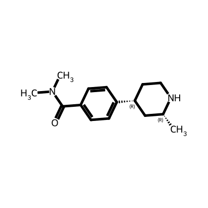 C[C@@H]1C[C@H](c2ccc(C(=O)N(C)C)cc2)CCN1